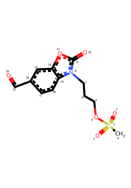 CS(=O)(=O)OCCCn1c(=O)oc2cc(C=O)ccc21